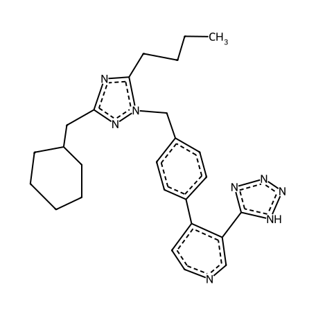 CCCCc1nc(CC2CCCCC2)nn1Cc1ccc(-c2ccncc2-c2nnn[nH]2)cc1